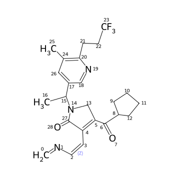 C=N/C=C\C1=C(C(=O)C2CCCC2)CN(C(C)c2cnc(CCC(F)(F)F)c(C)c2)C1=O